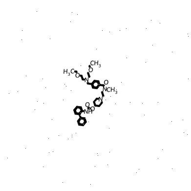 CCOCCN(CCOCC)Cc1ccc(C(=O)N(C)CCN2CCC(OC(=O)Nc3ccccc3-c3ccccc3)CC2)cc1